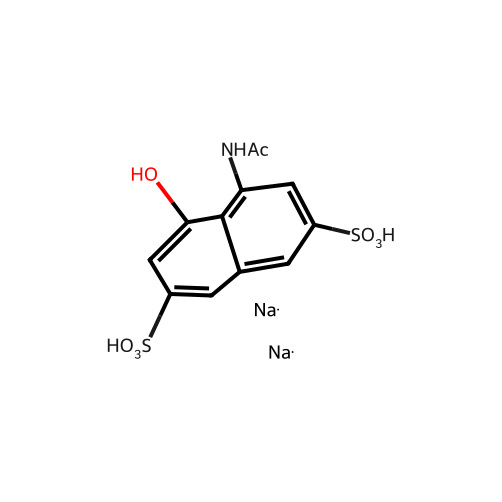 CC(=O)Nc1cc(S(=O)(=O)O)cc2cc(S(=O)(=O)O)cc(O)c12.[Na].[Na]